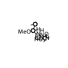 COc1cc(-c2ccccc2C)c(C)c(C(CC(=O)O)NC(=O)Nc2c(O)ccn(C)c2=O)c1